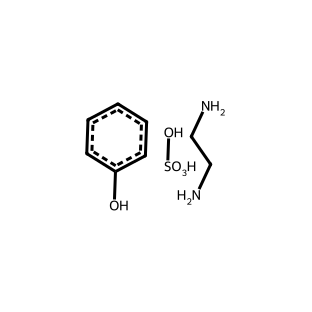 NCCN.O=S(=O)(O)O.Oc1ccccc1